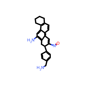 NCc1ccc(C2Cc3c(N)cc4c5c(ccc4c3C=C2N=O)CCCC5)cc1